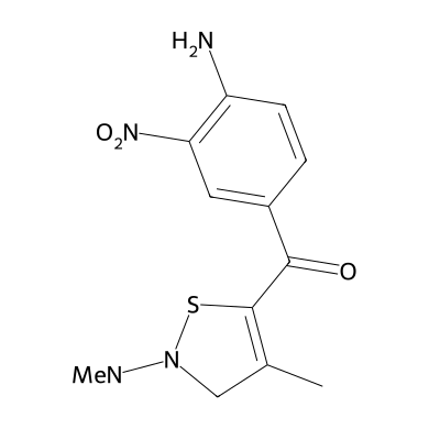 CNN1CC(C)=C(C(=O)c2ccc(N)c([N+](=O)[O-])c2)S1